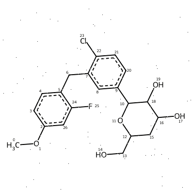 COc1ccc(Cc2cc(C3OC(CO)CC(O)C3O)ccc2Cl)c(F)c1